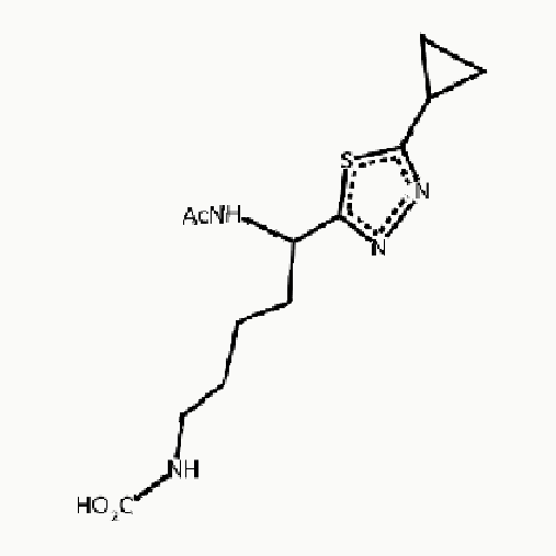 CC(=O)NC(CCCCNC(=O)O)c1nnc(C2CC2)s1